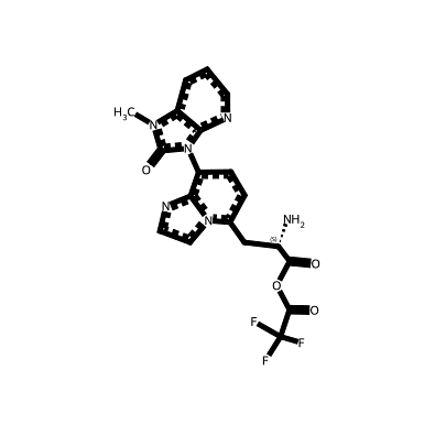 Cn1c(=O)n(-c2ccc(C[C@H](N)C(=O)OC(=O)C(F)(F)F)n3ccnc23)c2ncccc21